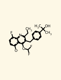 CCc1nc2c(F)ccc([O])c2c(OC(F)F)c1Cc1ccc(C(C)(C)O)cc1